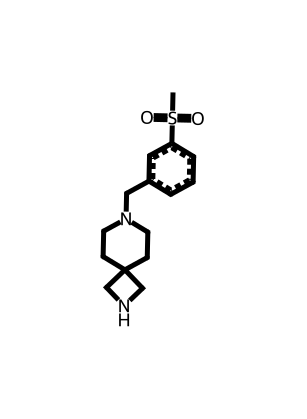 CS(=O)(=O)c1cccc(CN2CCC3(CC2)CNC3)c1